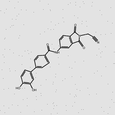 N#CCN1C(=O)c2ccc(NC(=O)c3ccc(-c4ccc(O)c(O)c4)cc3)cc2C1=O